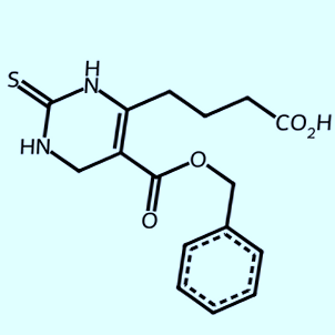 O=C(O)CCCC1=C(C(=O)OCc2ccccc2)CNC(=S)N1